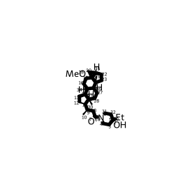 CCC1(O)CCN(C(=O)C[C@@H](C)[C@H]2CC[C@H]3[C@@H]4CC(OC)C56C[C@H]5CC[C@]6(C)[C@H]4CC[C@]23C)CC1